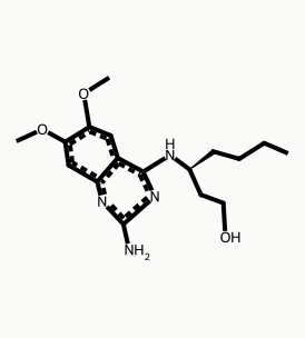 CCCC[C@@H](CCO)Nc1nc(N)nc2cc(OC)c(OC)cc12